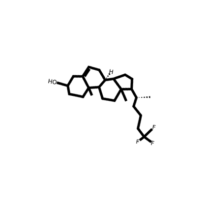 C[C@H](CCCC(F)(F)F)C1CCC2[C@@H]3CC=C4CC(O)CCC4(C)C3CCC21C